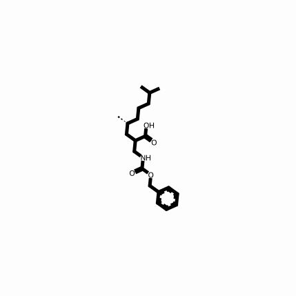 CC(C)CCC[C@@H](C)CC(CNC(=O)OCc1ccccc1)C(=O)O